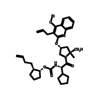 C=CCC[C@@H]1CCC[C@H]1OC(=O)N[C@H](C(=O)N1C[C@H](Oc2nc3ccccc3c(OCC)c2CC=C)C[C@@]1(C)C(=O)O)C1CCCC1